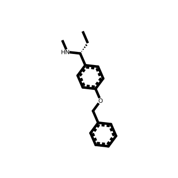 CC[C@@H](NC)c1ccc(OCc2ccccc2)cc1